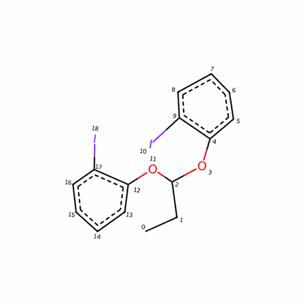 CCC(Oc1ccccc1I)Oc1ccccc1I